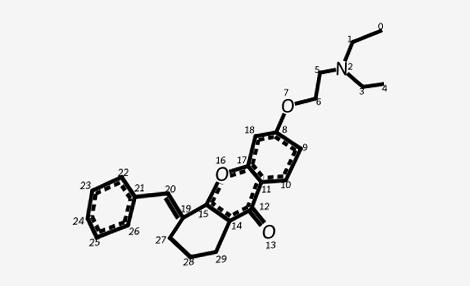 CCN(CC)CCOc1ccc2c(=O)c3c(oc2c1)C(=Cc1ccccc1)CCC3